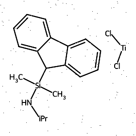 CC(C)N[Si](C)(C)C1c2ccccc2-c2ccccc21.[Cl][Ti][Cl]